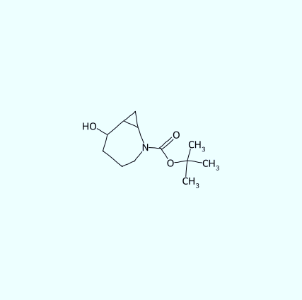 CC(C)(C)OC(=O)N1CCCC(O)C2CC21